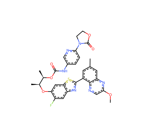 COc1cnc2c(-c3nc4cc(F)c(O[C@@H](C)[C@@H](C)OC(=O)Nc5ccc(N6CCOC6=O)nc5)cc4s3)cc(C)cc2n1